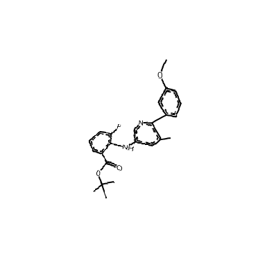 COc1cccc(-c2ncc(Nc3c(F)cccc3C(=O)OC(C)(C)C)cc2C)c1